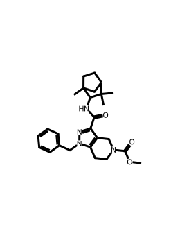 COC(=O)N1CCc2c(c(C(=O)NC3C4(C)CCC(C4)C3(C)C)nn2Cc2ccccc2)C1